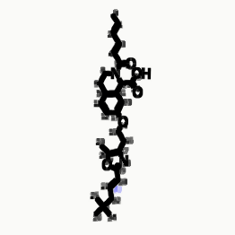 CC=CC=CC(=O)N1CCc2ccc(OCCc3nc(/C=C/CC(C)(C)C)oc3C)cc2C1C(=O)O